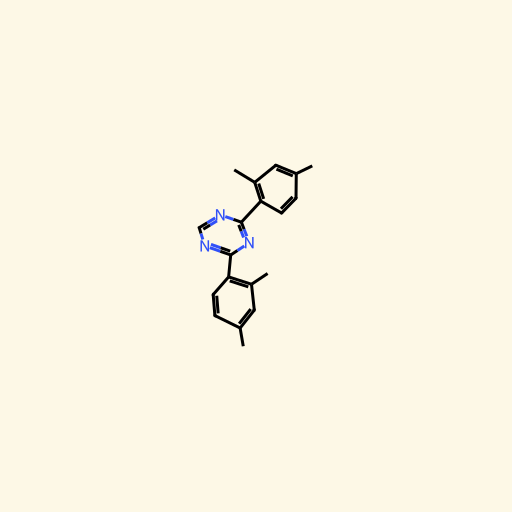 Cc1ccc(-c2ncnc(-c3ccc(C)cc3C)n2)c(C)c1